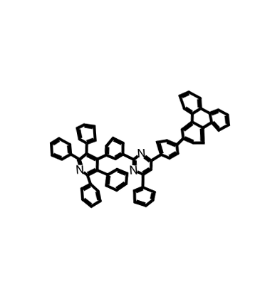 c1ccc(-c2cc(-c3ccc(-c4ccc5c6ccccc6c6ccccc6c5c4)cc3)nc(-c3cccc(-c4c(-c5ccccc5)c(-c5ccccc5)nc(-c5ccccc5)c4-c4ccccc4)c3)n2)cc1